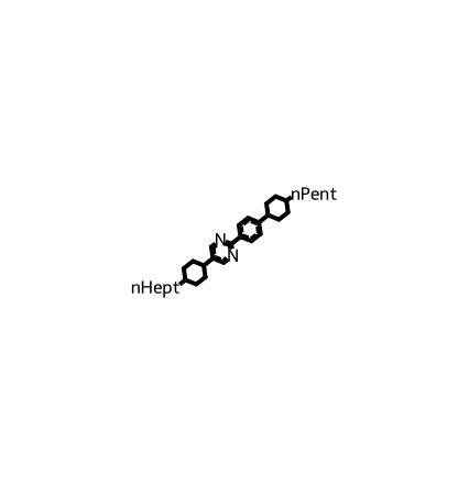 CCCCCCCC1CCC(c2cnc(-c3ccc(C4CCC(CCCCC)CC4)cc3)nc2)CC1